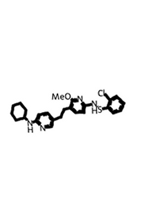 COc1nc(NSc2ccccc2Cl)ccc1CCc1ccc(NC2CCCCC2)nc1